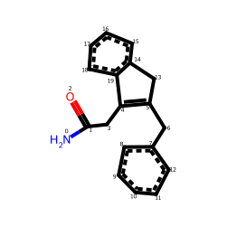 NC(=O)CC1=C(Cc2ccccc2)Cc2ccccc21